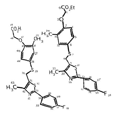 CCOC(=O)COc1ccc(SCc2sc(-c3ccc(F)cc3)nc2C)cc1C.Cc1cc(SCc2sc(-c3ccc(F)cc3)nc2C)ccc1OCC(=O)O